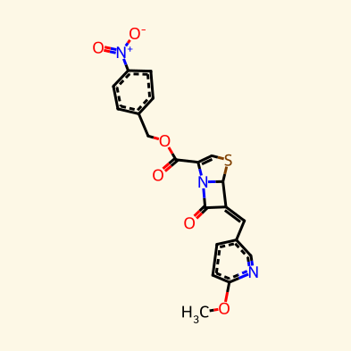 COc1ccc(C=C2C(=O)N3C(C(=O)OCc4ccc([N+](=O)[O-])cc4)=CSC23)cn1